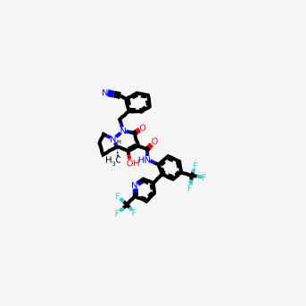 C[C@]12CCCN1N(Cc1ccccc1C#N)C(=O)C(C(=O)Nc1ccc(C(F)(F)F)cc1-c1ccc(C(F)(F)F)nc1)=C2O